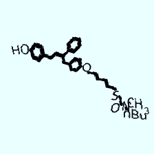 CCCCN(C)C(=O)CSCCCCCCOc1ccc(C/C(=C\Cc2ccc(O)cc2)c2ccccc2)cc1